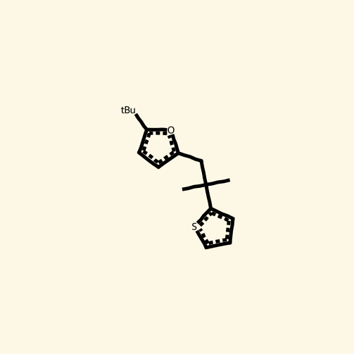 CC(C)(C)c1ccc(CC(C)(C)c2cccs2)o1